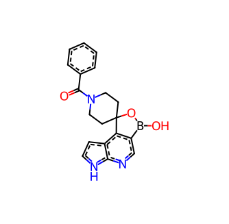 O=C(c1ccccc1)N1CCC2(CC1)OB(O)c1cnc3[nH]ccc3c12